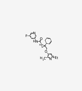 CCn1cc(OC[C@@]2(C3C=CC=CC3)C[C@H]2C(=O)Nc2cncc(F)c2)c(C)n1